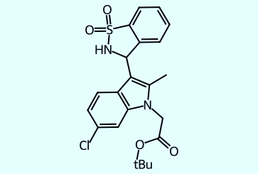 Cc1c(C2NS(=O)(=O)c3ccccc32)c2ccc(Cl)cc2n1CC(=O)OC(C)(C)C